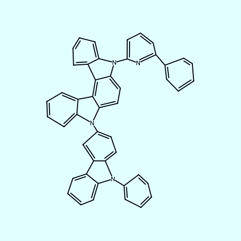 c1ccc(-c2cccc(-n3c4ccccc4c4c5c6ccccc6n(-c6ccc7c(c6)c6ccccc6n7-c6ccccc6)c5ccc43)n2)cc1